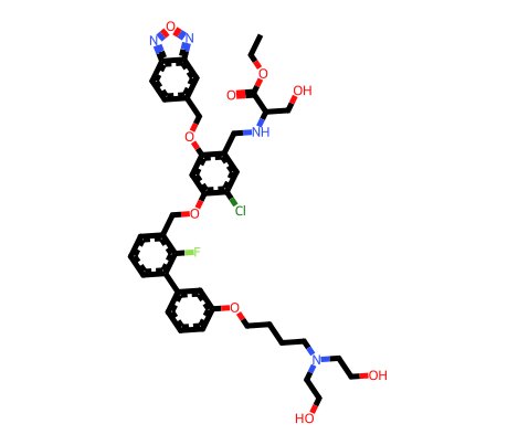 CCOC(=O)C(CO)NCc1cc(Cl)c(OCc2cccc(-c3cccc(OCCCCN(CCO)CCO)c3)c2F)cc1OCc1ccc2nonc2c1